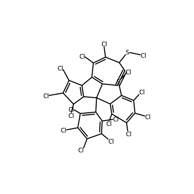 ClSc1c(Cl)c(Cl)c(Cl)c(Cl)c1C1(c2c(Cl)c(Cl)c(Cl)c(Cl)c2Cl)C2=C(C(Cl)=C(Cl)C(SCl)C#C2)C2=C1C(Cl)C(Cl)=C2Cl